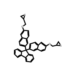 c1ccc2c(c1)-c1ccccc1C2(c1ccc2cc(OCC3CS3)ccc2c1)c1ccc2cc(OCC3CS3)ccc2c1